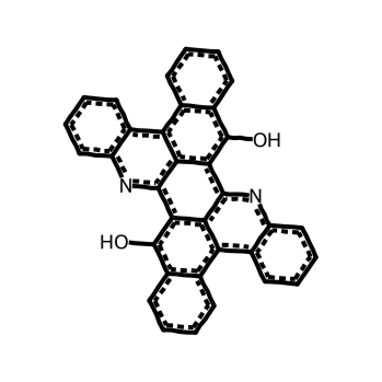 Oc1c2ccccc2c2c3ccccc3nc3c4c(O)c5ccccc5c5c6ccccc6nc(c1c32)c45